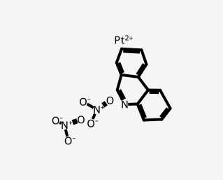 O=[N+]([O-])[O-].O=[N+]([O-])[O-].[Pt+2].c1ccc2c(c1)cnc1ccccc12